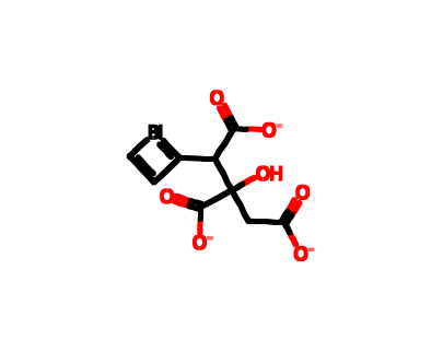 O=C([O-])CC(O)(C(=O)[O-])C(C(=O)[O-])[C]1=[Bi][CH]=C1